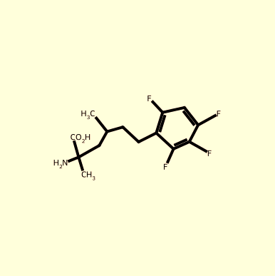 CC(CCc1c(F)cc(F)c(F)c1F)CC(C)(N)C(=O)O